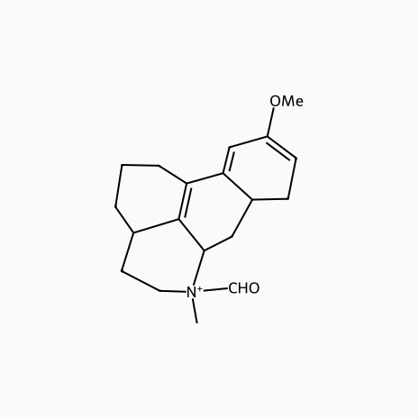 COC1=CCC2CC3C4=C(CCCC4CC[N+]3(C)C=O)C2=C1